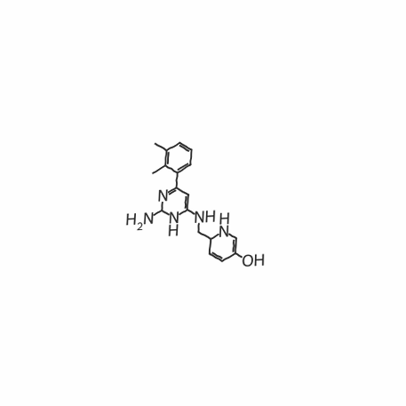 Cc1cccc(C2=NC(N)NC(NCC3C=CC(O)=CN3)=C2)c1C